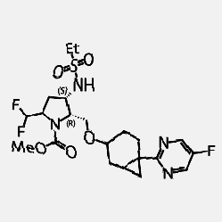 CCS(=O)(=O)N[C@H]1CC(C(F)F)N(C(=O)OC)[C@H]1COC1CCC2(c3ncc(F)cn3)CC2C1